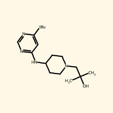 CC(C)(O)CN1CCC(Nc2cc(C(C)(C)C)ncn2)CC1